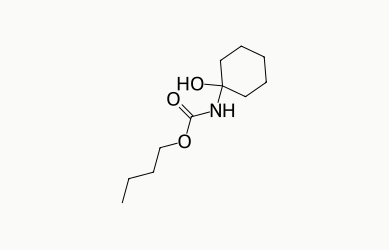 CCCCOC(=O)NC1(O)CCCCC1